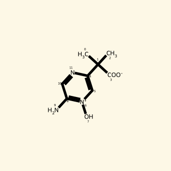 CC(C)(C(=O)[O-])c1c[n+](O)c(N)cn1